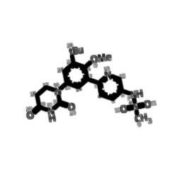 COc1c(-c2ccc(NS(C)(=O)=O)cn2)cc(N2CCC(=O)NC2=O)cc1C(C)(C)C